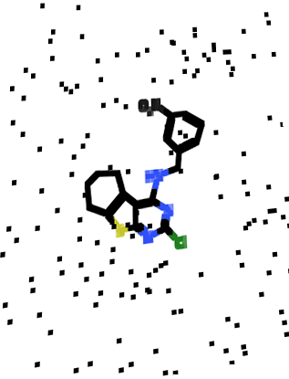 O=[N+]([O-])c1cccc(CNc2nc(Cl)nc3sc4c(c23)CCCC4)c1